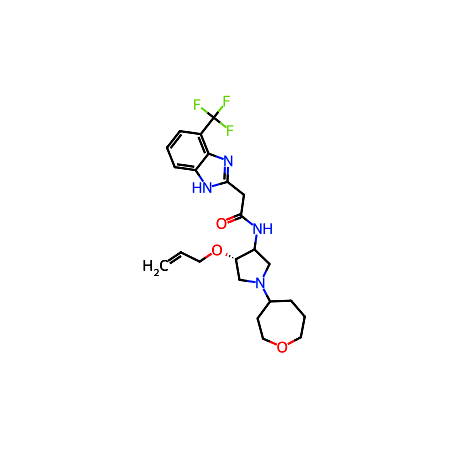 C=CCO[C@H]1CN(C2CCCOCC2)CC1NC(=O)Cc1nc2c(C(F)(F)F)cccc2[nH]1